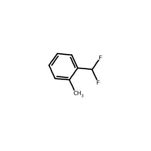 Cc1ccccc1[C](F)F